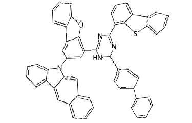 c1ccc(-c2ccc(C3N=C(c4cccc5c4sc4ccccc45)N=C(c4cc(-n5c6ccccc6c6cc7ccccc7cc65)cc5c4oc4ccccc45)N3)cc2)cc1